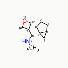 C1CC2CC2C1.CNCC1COC1